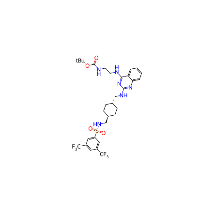 CC(C)(C)OC(=O)NCCNc1nc(NC[C@H]2CC[C@H](CNS(=O)(=O)c3cc(C(F)(F)F)cc(C(F)(F)F)c3)CC2)nc2ccccc12